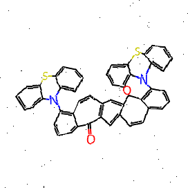 O=c1c2cc3ccc4cccc(N5c6ccccc6Sc6ccccc65)c4c(=O)c3cc2ccc2c(N3c4ccccc4Sc4ccccc43)cccc12